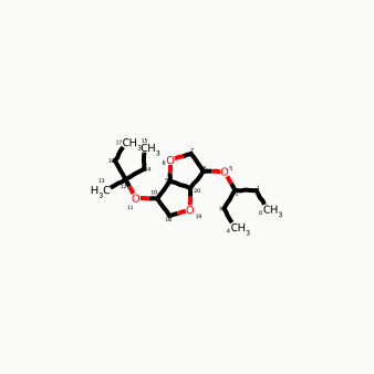 CCC(CC)OC1COC2C(OC(C)(CC)CC)COC12